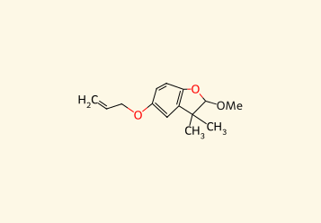 C=CCOc1ccc2c(c1)C(C)(C)C(OC)O2